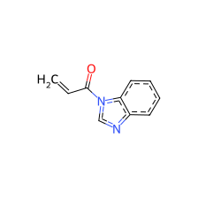 C=CC(=O)n1cnc2ccccc21